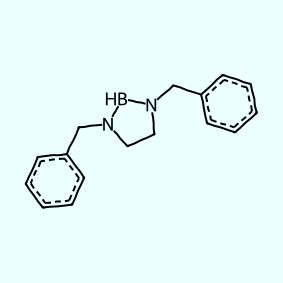 B1N(Cc2ccccc2)CCN1Cc1ccccc1